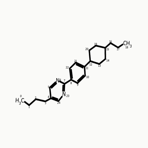 CCCCc1cnc(-c2ccc(C3CCC(CCC)CC3)cc2)nc1